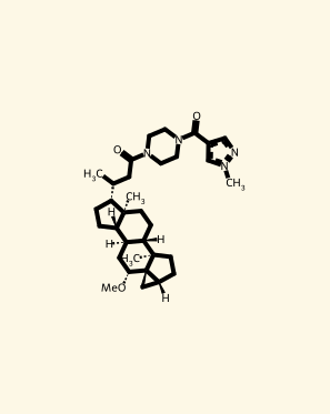 CO[C@@H]1C[C@H]2[C@@H]3CC[C@H](C(C)CC(=O)N4CCN(C(=O)c5cnn(C)c5)CC4)[C@@]3(C)CC[C@@H]2[C@@]2(C)CC[C@@H]3C[C@@]312